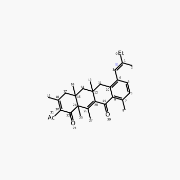 CC/C(C)=C/c1ccc(C)c2c1CC1(C)CC3(C)CC(C)=C(C(C)=O)C(=O)C3(C)C(C)=C1C2=O